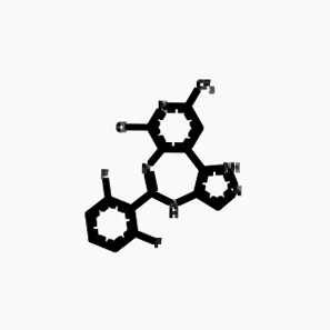 Fc1cccc(F)c1C1=Nc2c(cc(C(F)(F)F)nc2Cl)-c2[nH]ncc2N1